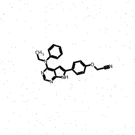 CCN(c1ccccc1)c1ncnc2[nH]c(-c3ccc(OCC#N)cc3)cc12